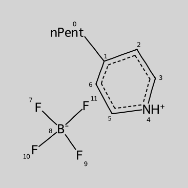 CCCCCc1cc[nH+]cc1.F[B-](F)(F)F